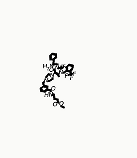 CCOC(=O)CCCNC(=O)c1cccc(CN2CCN(c3c(C)n(Cc4c(F)cccc4C(F)(F)F)c(=O)n(C[C@@H](N)c4ccccc4)c3=O)CC2)c1